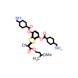 [C-]#[N+]C(C(=O)OCCC(C)OC)=C1Sc2c(OC(=O)C3CCC(CN)CC3)ccc(OC(=O)C3CCC(CN)CC3)c2S1